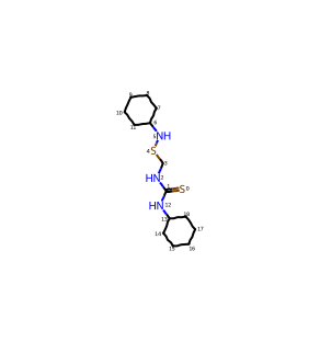 S=C(NCSNC1CCCCC1)NC1CCCCC1